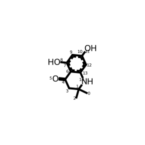 CC1(C)CC(=O)c2c(O)cc(O)cc2N1